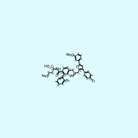 COc1cccc(-c2cc(-c3ccc(Cl)cc3)c(CN(Cc3ccc(C(=O)NC(CCSC)C(=O)O)c(-c4ccccc4C)c3)C(C)C)o2)c1